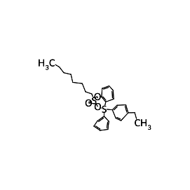 CCCCCCCCS(=O)(=O)OS(c1ccccc1)(c1ccccc1)c1ccc(CC)cc1